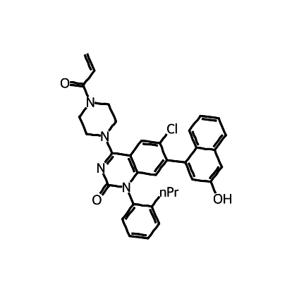 C=CC(=O)N1CCN(c2nc(=O)n(-c3ccccc3CCC)c3cc(-c4cc(O)cc5ccccc45)c(Cl)cc23)CC1